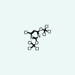 Clc1cc(OC(Cl)(Cl)Cl)nc(OC(Cl)(Cl)Cl)n1